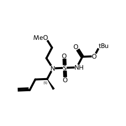 C=CC[C@H](C)N(CCOC)S(=O)(=O)NC(=O)OC(C)(C)C